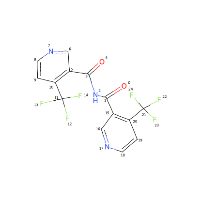 O=C(NC(=O)c1cnccc1C(F)(F)F)c1cnccc1C(F)(F)F